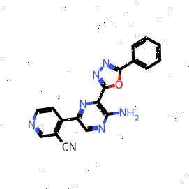 N#Cc1cnccc1-c1cnc(N)c(-c2nnc(-c3ccccc3)o2)n1